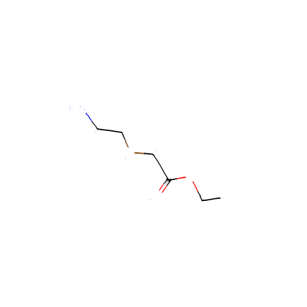 CCOC(=O)CSCCN